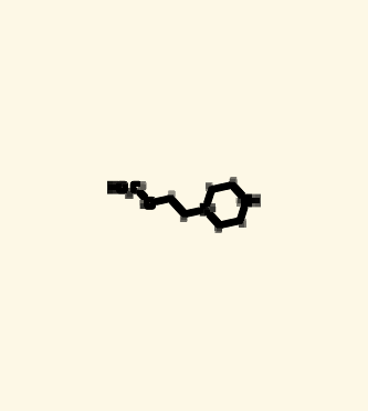 O=C(O)OCCN1CCNCC1